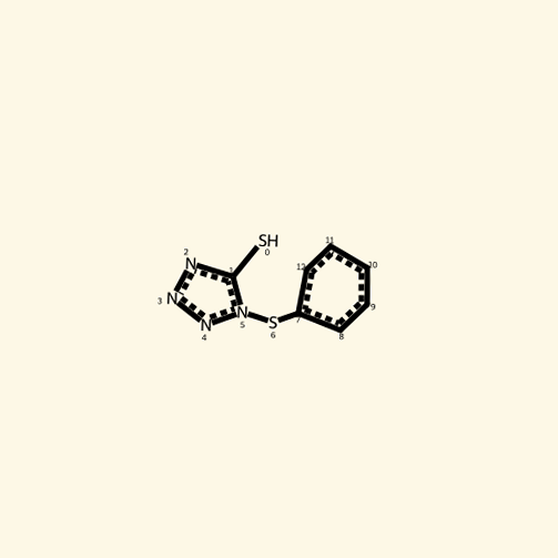 Sc1nnnn1Sc1ccccc1